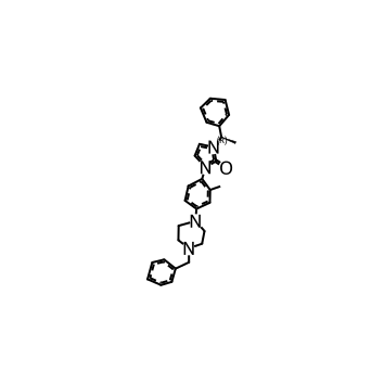 Cc1cc(N2CCN(Cc3ccccc3)CC2)ccc1-n1ccn([C@H](C)c2ccccc2)c1=O